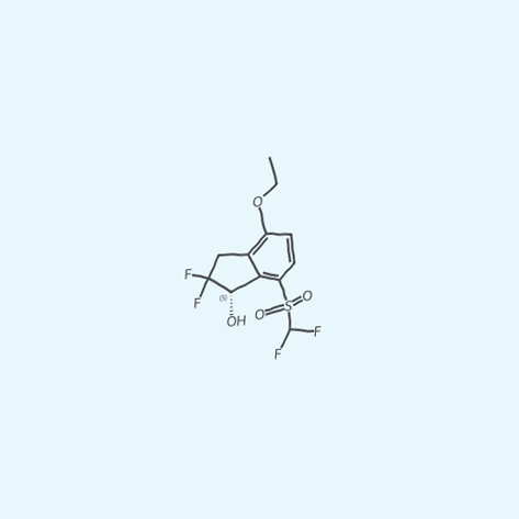 CCOc1ccc(S(=O)(=O)C(F)F)c2c1CC(F)(F)[C@H]2O